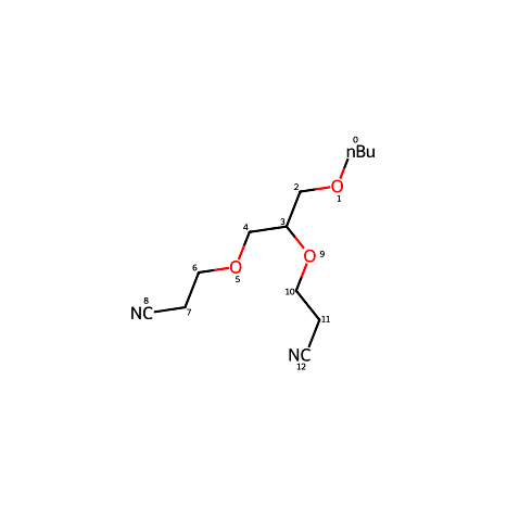 CCCCOCC(COCCC#N)OCCC#N